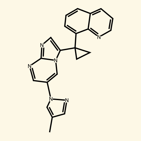 Cc1cnn(-c2cnc3ncc(C4(c5cccc6cccnc56)CC4)n3c2)c1